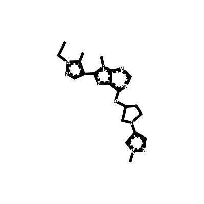 CCn1ncc(-c2nc3c(OC4CCN(c5cnn(C)c5)C4)ncnc3n2C)c1C